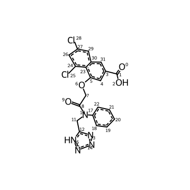 O=C(O)c1cc(OCC(=O)N(Cc2nnn[nH]2)c2ccccc2)c2c(Cl)cc(Cl)cc2c1